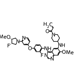 C=CC(=O)N1CCC(Nc2cc3c(Nc4ccc(Oc5ccnc(N6C[C@H](F)[C@H](OC)C6)c5)cc4F)ncnc3cc2OC)CC1